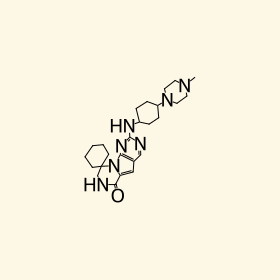 CN1CCN(C2CCC(Nc3ncc4cc5n(c4n3)C3(CCCCC3)CNC5=O)CC2)CC1